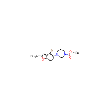 CC(C)(C)OC(=O)N1CCCN(c2ccc3oc(C(=O)O)cc3c2Br)CC1